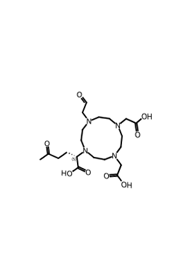 CC(=O)CC[C@@H](C(=O)O)N1CCN(CC=O)CCN(CC(=O)O)CCN(CC(=O)O)CC1